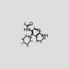 CC(=O)Nc1cnc2c(c1N1CCCCC1)CCCN2